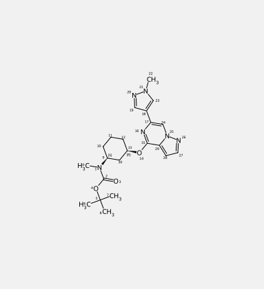 CN(C(=O)OC(C)(C)C)[C@H]1CCC[C@@H](Oc2nc(-c3cnn(C)c3)cn3nccc23)C1